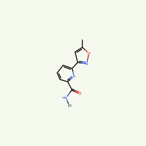 CCNC(=O)c1cccc(-c2cc(C)on2)n1